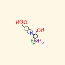 O=C(O)CC1CCC2(CC1)CCN(c1cc(C(F)(F)P)ccc1CO)CC2